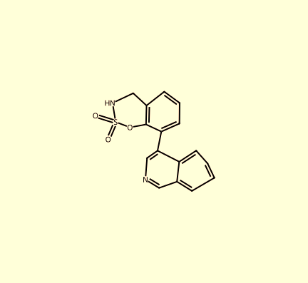 O=S1(=O)NCc2cccc(-c3cncc4ccccc34)c2O1